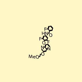 COCCOc1cnc2c(Oc3c(F)cc(NC(=O)c4ccccc4F)cc3F)ccnc2c1